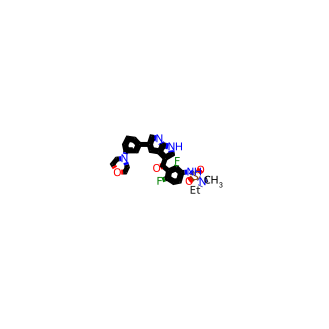 CCN(C)S(=O)(=O)Nc1ccc(F)c(C(=O)c2c[nH]c3ncc(-c4cccc(N5CCOCC5)c4)cc23)c1F